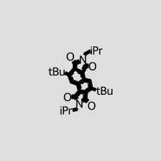 CC(C)Cn1c(=O)c2c(C(C)(C)C)cc3c(cc(C(C)(C)C)c4c(=O)n(CC(C)C)c(=O)c43)c2c1=O